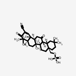 CC1(C)CC[C@]2(COP(=O)(O)O)CC[C@]3(C)[C@H](C(=O)C[C@@H]4[C@@]5(C)C=C(C#N)C(=O)C(C)(C)[C@@H]5CC[C@]43C)[C@@H]2C1